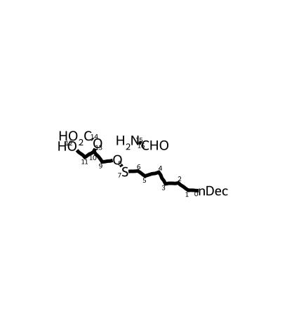 CCCCCCCCCCCCCCCCSOCC(CO)OC(=O)O.NC=O